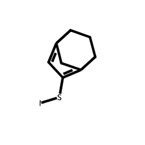 ISC1=C2CCCC(=C1)C2